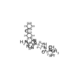 CC(C)CC(C(=O)N[C@H]1CC[C@H](n2nc(-c3ccc(Oc4ccccc4)cc3)c3c(N)ncnc32)CC1)N(C)C